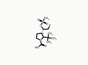 CC(C)(C)C1[C@@H](C(CF)OS(C)(=O)=O)CCN1C(=O)O